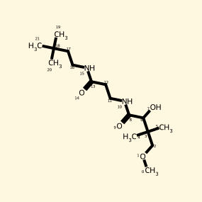 COCC(C)(C)C(O)C(=O)NCCC(=O)NCCC(C)(C)C